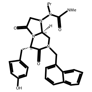 CNC(=O)N(C(C)C)N1CC(=O)N2[C@@H](Cc3ccc(O)cc3)C(=O)N(Cc3cccc4ccccc34)C[C@@H]21